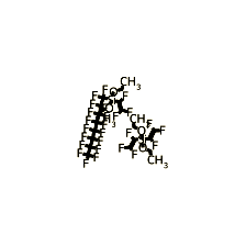 CCO[Si](OCC)(C(F)=C(F)F)C(F)(F)C(F)(F)C(F)(F)C(F)(F)C(F)(F)C(F)(F)C(F)(F)C(F)(F)F.CCO[Si](OCC)(C(F)=C(F)F)C(F)=C(F)F